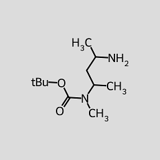 CC(N)CC(C)N(C)C(=O)OC(C)(C)C